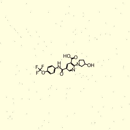 O=C(Nc1ccc(OC(F)(F)F)cc1)c1cnc(N2CCC(O)C2)c(C(=O)O)c1